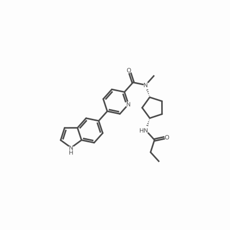 CCC(=O)N[C@H]1CC[C@@H](N(C)C(=O)c2ccc(-c3ccc4[nH]ccc4c3)cn2)C1